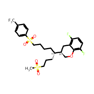 CS(=O)(=O)CCC[C@H](CCCCS(=O)(=O)c1ccc(C(F)(F)F)cc1)[C@@H]1COc2c(F)ccc(F)c2C1